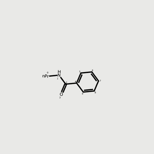 CCCNC(=O)c1cc[c]cc1